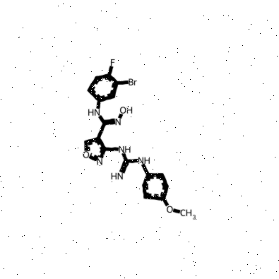 COc1ccc(NC(=N)Nc2nocc2/C(=N/O)Nc2ccc(F)c(Br)c2)cc1